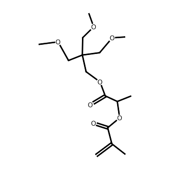 C=C(C)C(=O)OC(C)C(=O)OCC(COC)(COC)COC